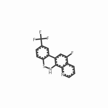 Fc1cc2c(c3ncccc13)NSc1ccc(C(F)(F)F)cc1-2